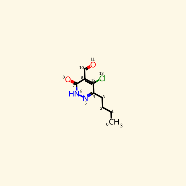 CCCCc1n[nH]c(=O)c(C=O)c1Cl